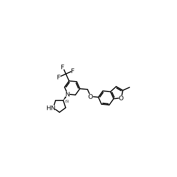 Cc1cc2cc(OCC3=CC(C(F)(F)F)=CN([C@H]4CCNC4)C3)ccc2o1